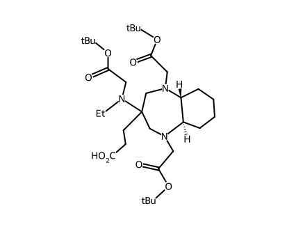 CCN(CC(=O)OC(C)(C)C)C1(CCC(=O)O)CN(CC(=O)OC(C)(C)C)[C@@H]2CCCC[C@H]2N(CC(=O)OC(C)(C)C)C1